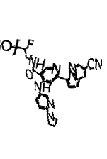 CC(C)(O)C(F)CNC(=O)c1cnc(-c2ccc3cc(C#N)cnn23)cc1Nc1ccc(N2CCC2)nc1